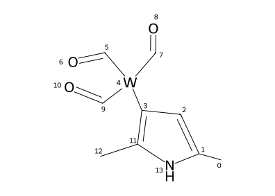 Cc1c[c]([W]([CH]=O)([CH]=O)[CH]=O)c(C)[nH]1